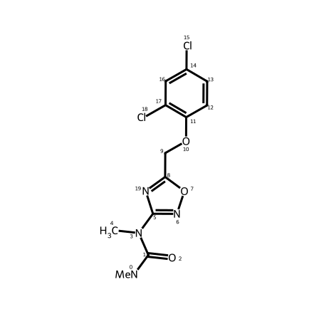 CNC(=O)N(C)c1noc(COc2ccc(Cl)cc2Cl)n1